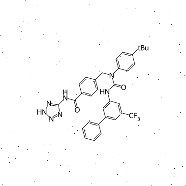 CC(C)(C)c1ccc(N(Cc2ccc(C(=O)Nc3nn[nH]n3)cc2)C(=O)Nc2cc(-c3ccccc3)cc(C(F)(F)F)c2)cc1